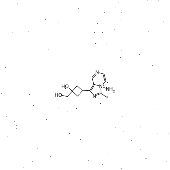 N[N+]12C=CN=CC1=C(C1CC(O)(CO)C1)N=C2I